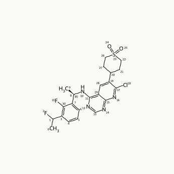 CC(F)c1cccc([C@@H](C)Nc2ncnc3nc(Cl)c(C4CCS(=O)(=O)CC4)cc23)c1F